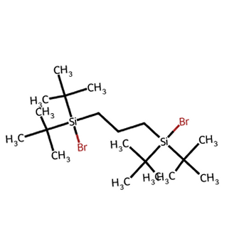 CC(C)(C)[Si](Br)(CCC[Si](Br)(C(C)(C)C)C(C)(C)C)C(C)(C)C